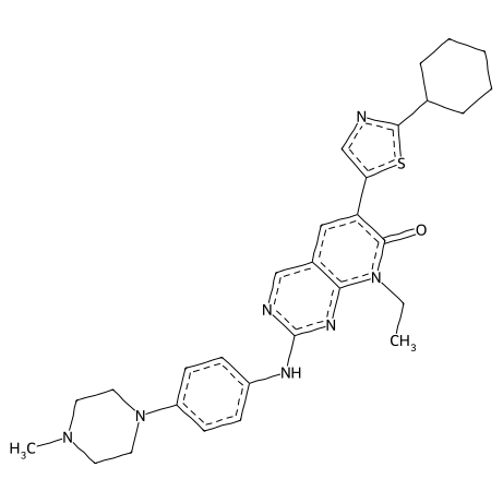 CCn1c(=O)c(-c2cnc(C3CCCCC3)s2)cc2cnc(Nc3ccc(N4CCN(C)CC4)cc3)nc21